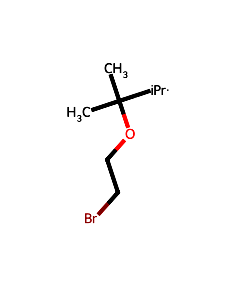 C[C](C)C(C)(C)OCCBr